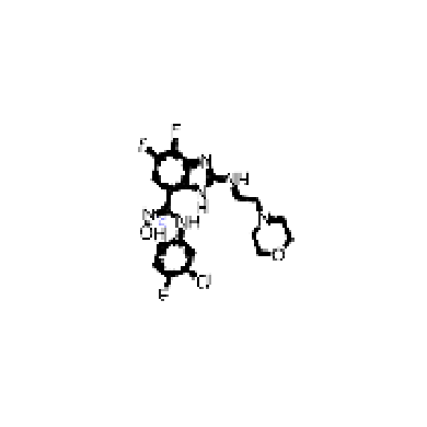 O/N=C(\Nc1ccc(F)c(Cl)c1)c1cc(F)c(F)c2nc(NCCN3CCOCC3)[nH]c12